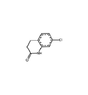 O=C1CCc2ccc(Cl)cc2N1